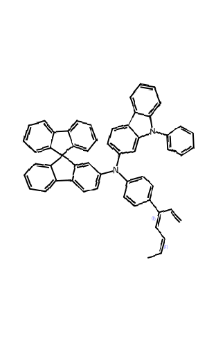 C=C/C(=C\C=C/C)c1ccc(N(c2ccc3c(c2)C2(c4ccccc4-c4ccccc42)c2ccccc2-3)c2ccc3c4ccccc4n(-c4ccccc4)c3c2)cc1